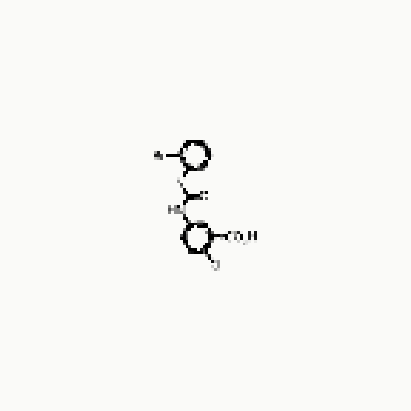 O=C(Nc1ccc(Cl)c(C(=O)O)c1)Nc1ccccc1Br